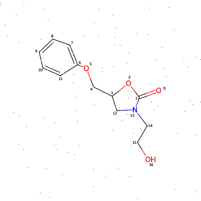 O=C1OC(COc2ccccc2)CN1CCO